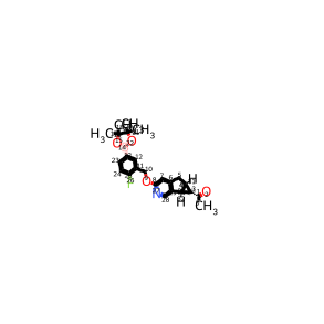 CC(=O)[C@H]1[C@@H]2Cc3cc(OCc4cc(B5OC(C)(C)C(C)(C)O5)ccc4F)ncc3[C@@H]21